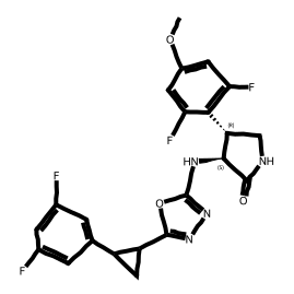 COc1cc(F)c([C@@H]2CNC(=O)[C@H]2Nc2nnc(C3CC3c3cc(F)cc(F)c3)o2)c(F)c1